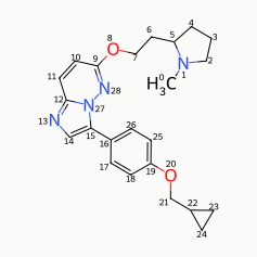 CN1CCCC1CCOc1ccc2ncc(-c3ccc(OCC4CC4)cc3)n2n1